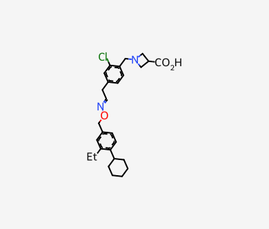 CCc1cc(CON=CCc2ccc(CN3CC(C(=O)O)C3)c(Cl)c2)ccc1C1CCCCC1